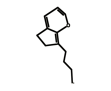 [CH2]CCCC1=C2OC=CC=C2CC1